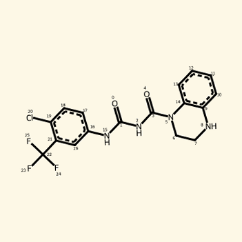 O=C(NC(=O)N1CCNc2c[c]ccc21)Nc1ccc(Cl)c(C(F)(F)F)c1